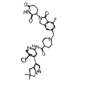 CC1(C)Cc2c(-c3cc(NC(=O)C4CCN(Cc5cc(F)c6c(c5)CN(C5CCC(=O)NC5=O)C6=O)CC4)ncc3Cl)cnn2C1